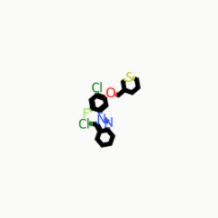 Fc1cc(Cl)c(OCC2CCCSC2)cc1-n1nc2c(c1Cl)CCCC2